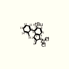 CC1=Cc2c(ccc(C(C)(C)C)c2-c2ccccc2C)[CH]1[Zr]([Cl])[Cl]